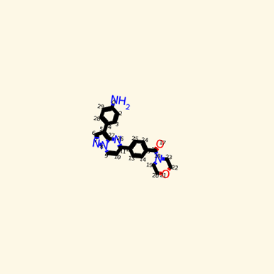 Nc1ccc(-c2cnn3ccc(-c4ccc(C(=O)N5CCOCC5)cc4)nc23)cc1